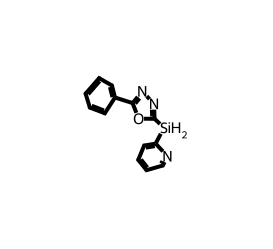 c1ccc(-c2nnc([SiH2]c3ccccn3)o2)cc1